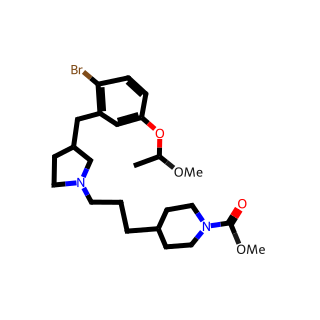 COC(=O)N1CCC(CCCN2CCC(Cc3cc(OC(C)OC)ccc3Br)C2)CC1